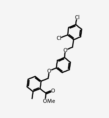 COC(=O)c1c(C)cccc1COc1cccc(OCc2ccc(Cl)cc2Cl)c1